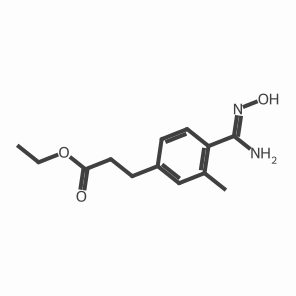 CCOC(=O)CCc1ccc(/C(N)=N/O)c(C)c1